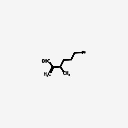 C=C(C=O)C(C)CCCC(C)C